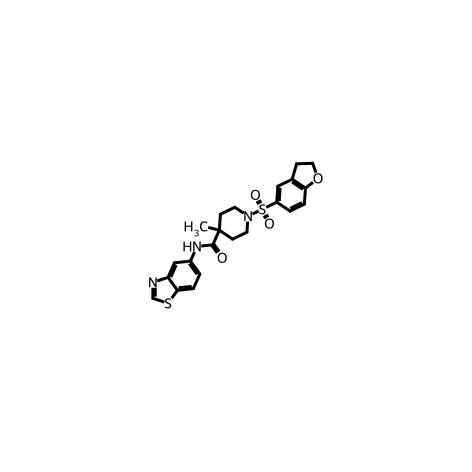 CC1(C(=O)Nc2ccc3scnc3c2)CCN(S(=O)(=O)c2ccc3c(c2)CCO3)CC1